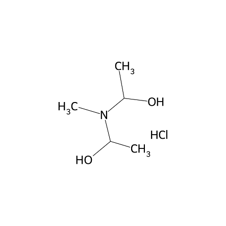 CC(O)N(C)C(C)O.Cl